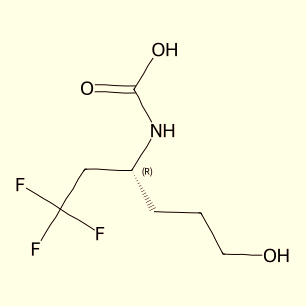 O=C(O)N[C@H](CCCO)CC(F)(F)F